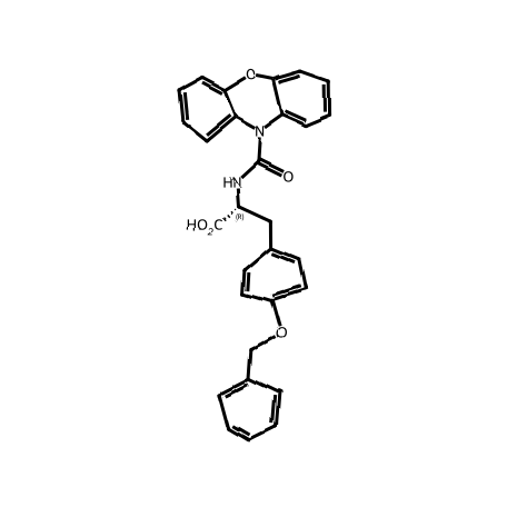 O=C(O)[C@@H](Cc1ccc(OCc2ccccc2)cc1)NC(=O)N1c2ccccc2Oc2ccccc21